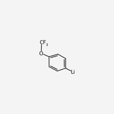 [Li][c]1ccc(OC(F)(F)F)cc1